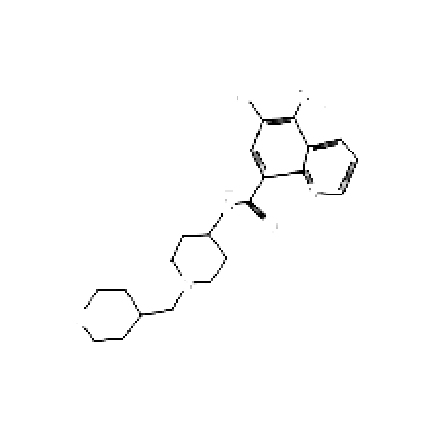 Nc1c(Cl)cc(C(=O)NC2CCN(CC3CCOCC3)CC2)c2ncccc12